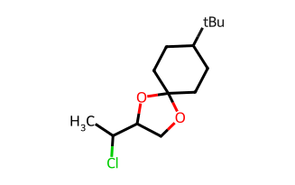 CC(Cl)C1COC2(CCC(C(C)(C)C)CC2)O1